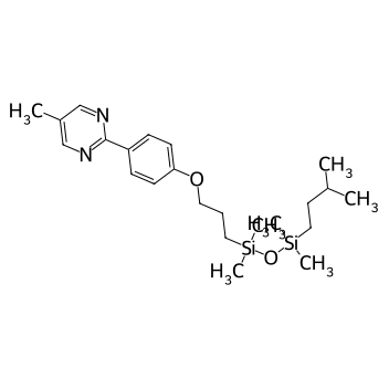 Cc1cnc(-c2ccc(OCCC[Si](C)(C)O[Si](C)(C)CCC(C)C)cc2)nc1